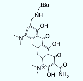 CN(C)c1cc(CNCC(C)(C)C)c(O)c2c1CC1CC3C(C(=O)C(C(N)=O)=C(O)[C@@H]3N(C)C)C(O)=C1C2=O